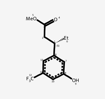 CC[C@@H](CC(=O)OC)c1cc(O)cc(C(F)(F)F)c1